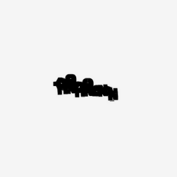 Cc1ccc(C(=O)Nc2ccc(C(=O)Nc3ccc(N4CCC(N(C)C)C4)cc3)cc2)cc1